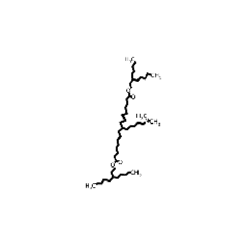 CCCCCC(CCCCC)CCOC(=O)CCCCCCCC(CCCCCCCC(=O)OCCC(CCCCC)CCCCC)CCCCCN(C)C